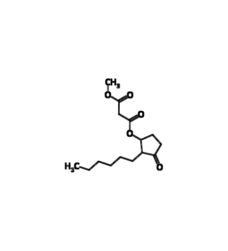 CCCCCCC1C(=O)CCC1OC(=O)CC(=O)OC